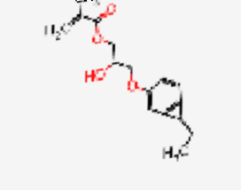 C=C(C)C(=O)OCC(O)COc1ccc2c(c1)C2CC